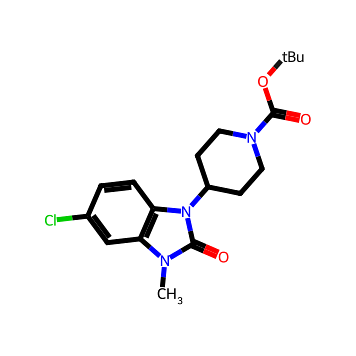 Cn1c(=O)n(C2CCN(C(=O)OC(C)(C)C)CC2)c2ccc(Cl)cc21